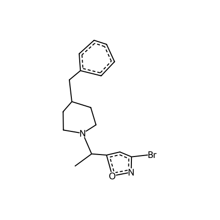 CC(c1cc(Br)no1)N1CCC(Cc2ccccc2)CC1